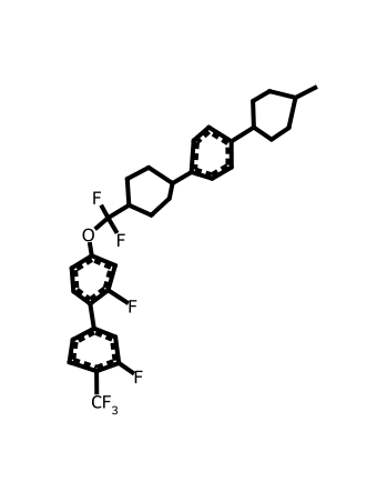 CC1CCC(c2ccc(C3CCC(C(F)(F)Oc4ccc(-c5ccc(C(F)(F)F)c(F)c5)c(F)c4)CC3)cc2)CC1